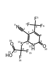 N#Cc1c(C(F)(F)F)cc(=O)[nH]c1SC(F)(F)C(=O)O